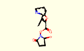 Cc1c(C(=O)ON2C(=O)CCC2=O)oc2cccnc12